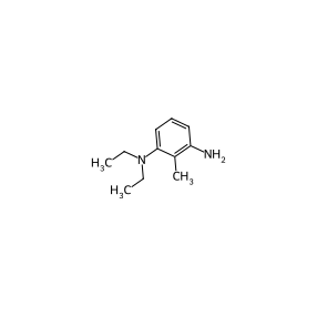 CCN(CC)c1cccc(N)c1C